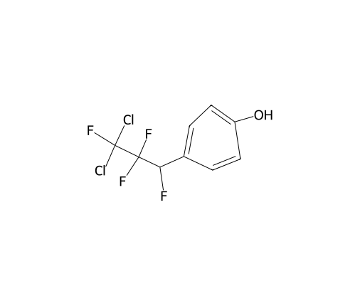 Oc1ccc(C(F)C(F)(F)C(F)(Cl)Cl)cc1